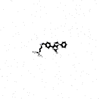 CN(C)CCC/N=C\c1ccc(-c2nc(Cl)nc3c2ncn3-c2ccccc2)cc1